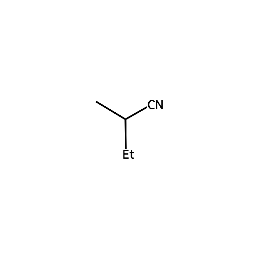 [CH2]CC(C)C#N